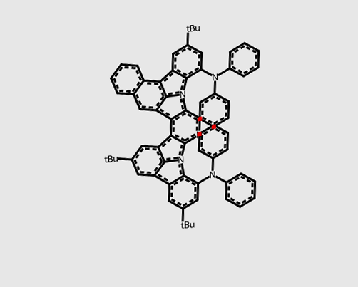 CC(C)(C)c1cc(N(c2ccccc2)c2ccccc2)c2c(c1)c1c3ccccc3cc3c4c5c6cc(C(C)(C)C)cc7c8cc(C(C)(C)C)cc(N(c9ccccc9)c9ccccc9)c8n(c5ncc4n2c31)c76